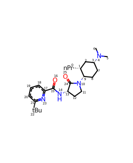 CCC[C@@H]1C[C@H](N(C)C)CC[C@@H]1N1CC[C@H](NC(=O)c2cccc(C(C)(C)C)n2)C1=O